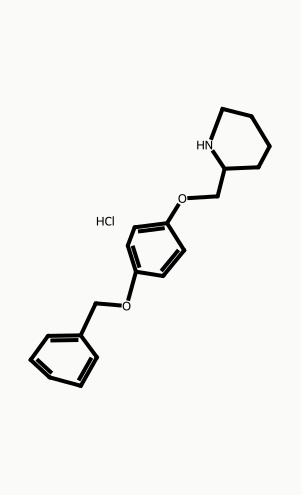 Cl.c1ccc(COc2ccc(OCC3CCCCN3)cc2)cc1